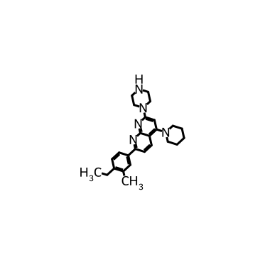 CCc1ccc(-c2ccc3c(N4CCCCC4)cc(N4CCNCC4)nc3n2)cc1C